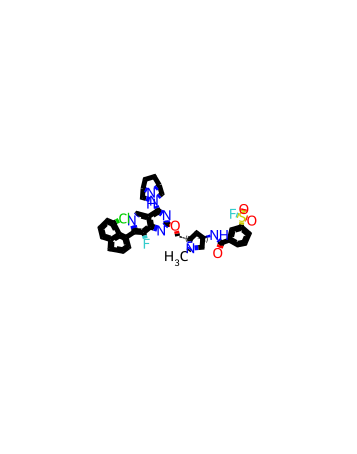 CN1C[C@H](NC(=O)c2cccc(S(=O)(=O)F)c2)C[C@H]1COc1nc(N2CC3CCC(C2)N3)c2cnc(-c3cccc4cccc(Cl)c34)c(F)c2n1